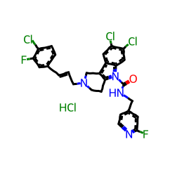 Cl.O=C(NCc1ccnc(F)c1)n1c2c(c3cc(Cl)c(Cl)cc31)CN(C/C=C/c1ccc(Cl)c(F)c1)CC2